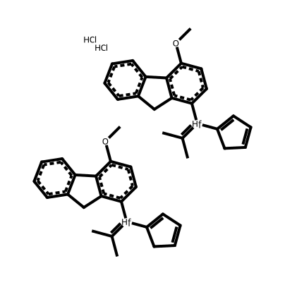 COc1cc[c]([Hf]([C]2=CC=CC2)=[C](C)C)c2c1-c1ccccc1C2.COc1cc[c]([Hf]([C]2=CC=CC2)=[C](C)C)c2c1-c1ccccc1C2.Cl.Cl